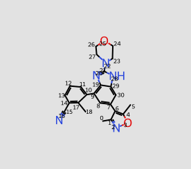 Cc1noc(C)c1-c1cc(-c2cccc(C#N)c2C)c2nc(N3CCOCC3)[nH]c2c1